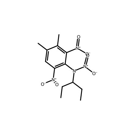 CCC(CC)N(c1c([N+](=O)[O-])cc(C)c(C)c1[N+](=O)[O-])[N+](=O)[O-]